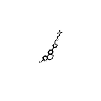 C[Si](C)(C)CCOCn1cc(-c2ccc3c(c2)OCCc2nc(Cl)ccc2-3)cn1